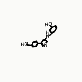 OCc1ccc(-c2cncc(NCc3cccc(O)c3)c2)cc1